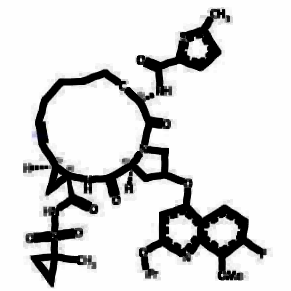 COc1c(F)ccc2c(OC3C[C@H]4C(=O)N[C@]5(C(=O)NS(=O)(=O)C6(C)CC6)C[C@H]5/C=C\CCCCC[C@H](NC(=O)c5ccc(C)s5)C(=O)N4C3)cc(OC(C)C)nc12